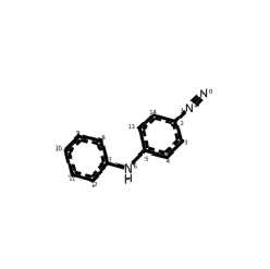 N#[N+]c1ccc(Nc2ccccc2)cc1